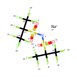 O=S(=O)([N-]S(=O)(=O)C(F)(C(F)(F)F)C(F)(F)F)C(F)(C(F)(F)F)C(F)(F)F.[Na+]